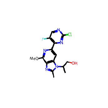 COc1nc(-c2nc(Cl)ncc2F)cc2c1nc(C)n2C(C)CO